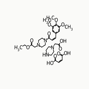 CCOC(=O)CN1CCN(C(=O)/C=C\c2cc(OC)c(OC)c(OC)c2)CC1.O=C(O)/C=C\C(=O)O.O=C(O)CN1CCNCC1